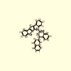 c1ccc2cc(-c3nc(-n4c5ccccc5c5sc6c7ccccc7sc6c54)nc4ccccc34)ccc2c1